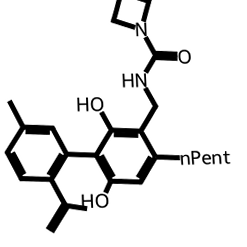 C=C(C)c1ccc(C)cc1-c1c(O)cc(CCCCC)c(CNC(=O)N2CCC2)c1O